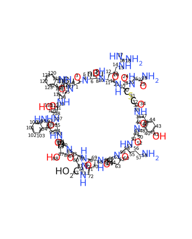 CCCC[C@H]1C(=O)N(C)[C@@H](CCCC)C(=O)N[C@@H](CCCNC(=N)N)C(=O)N[C@H](C(=O)NCC(N)=O)CSCC(=O)N[C@@H](Cc2ccc(O)cc2)C(=O)N(C)[C@@H](C)C(=O)N[C@@H](CCCN)C(=O)N2CCC[C@H]2C(=O)N[C@@H](Cc2c[nH]cn2)C(=O)N[C@@H](CCC(=O)O)C(=O)N2C[C@H](O)C[C@H]2C(=O)N[C@@H](Cc2c[nH]c3ccccc23)C(=O)N[C@@H](CO)C(=O)N[C@@H](Cc2c[nH]c3ccccc23)C(=O)N1C